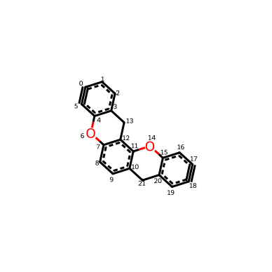 c1ccc2c(c#1)Oc1ccc3c(c1C2)Oc1cc#ccc1C3